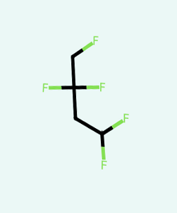 FCC(F)(F)C[C](F)F